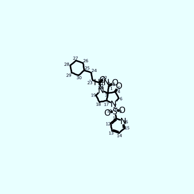 NC(=O)C12C(=O)CN(S(=O)(=O)c3ccccn3)C1CCN2C(=O)[CH]CC1CCCCC1